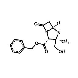 C[C@@]1(CO)S[C@@H]2CC(=O)N2[C@H]1C(=O)OCc1ccccc1